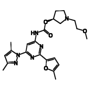 COCCN1CC[C@H](OC(=O)Nc2cc(-n3nc(C)cc3C)nc(-c3ccc(C)o3)n2)C1